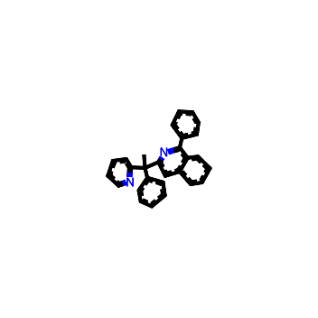 CC(c1ccccc1)(c1ccccn1)c1cc2ccccc2c(-c2ccccc2)n1